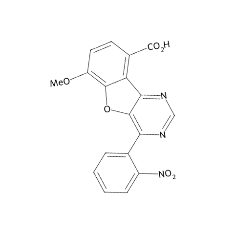 COc1ccc(C(=O)O)c2c1oc1c(-c3ccccc3[N+](=O)[O-])ncnc12